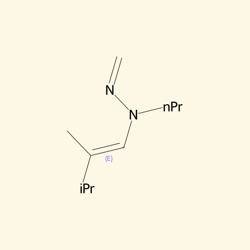 C=NN(/C=C(\C)C(C)C)CCC